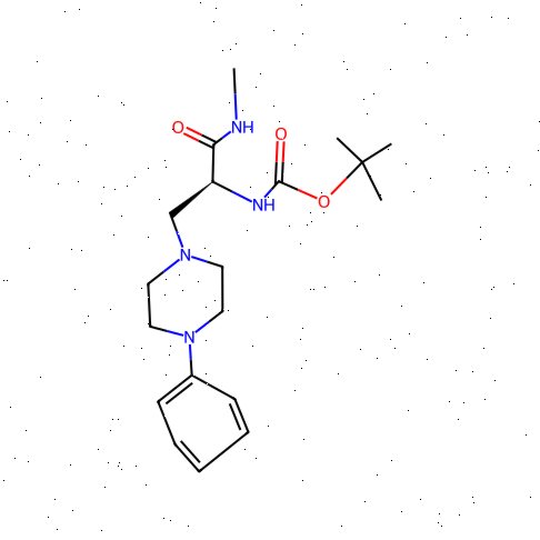 CNC(=O)[C@H](CN1CCN(c2ccccc2)CC1)NC(=O)OC(C)(C)C